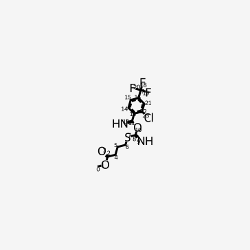 COC(=O)CCCSC(=N)OC(=N)c1ccc(C(F)(F)F)cc1Cl